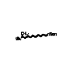 [CH2]C(CCCCCCCCCCCCCCCCCC)C(C)(C)C